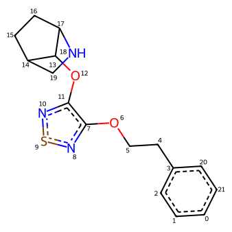 c1ccc(CCOc2nsnc2OC2C3CCC2NC3)cc1